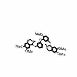 COc1cc2c(cc1OC)[C@@H](Cc1cccc(Oc3cc(C[C@@H]4c5cc(OC)c(OC)cc5CCN4C)ccc3OC)c1)N(C)CC2